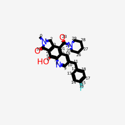 CN1Cc2c(c(O)c3ncc(Cc4ccc(F)cc4)cc3c2C(=O)N2CCCCC2)C1=O